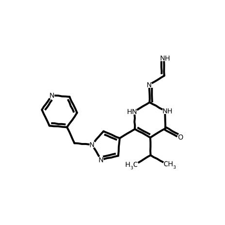 CC(C)c1c(-c2cnn(Cc3ccncc3)c2)[nH]/c(=N/C=N)[nH]c1=O